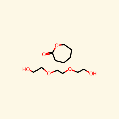 O=C1CCCCCO1.OCCOCCOCCO